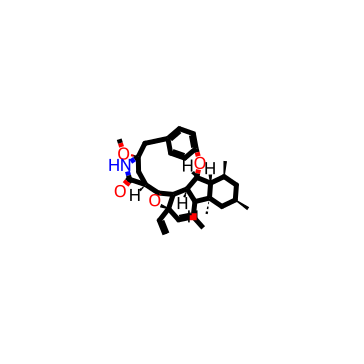 C=C[C@@]1(C)C=C(C)[C@@H]2[C@H]3C1C(=O)[C@@H]1C[C@](OC)(Cc4ccc(cc4)O[C@@H]3[C@@H]3[C@@H](C)C[C@@H](C)C[C@]32C)NC1=O